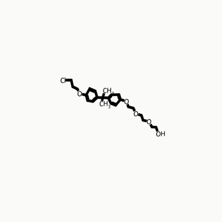 CC(C)(c1ccc(OCCCCl)cc1)c1ccc(OCCOCCOCCO)cc1